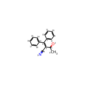 CC(=O)C(C#N)=C(c1ccccc1)c1ccccc1